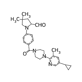 Cc1cc(C2CC2)cnc1N1CCN(C(=O)c2ccc(N3CC(C)(C)CC3C=O)cc2)CC1